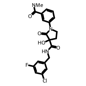 CNC(=O)c1cccc(N2CCC(O)(C(=O)NCc3cc(F)cc(Cl)c3)C2=O)c1